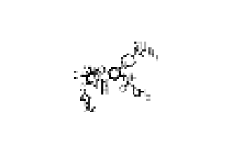 C=CC(=O)Nc1cc(Nc2ncc(Cl)c(OC3CN(C(C)=O)C3)n2)c(OC)cc1N1CCC(N(C)C)CC1